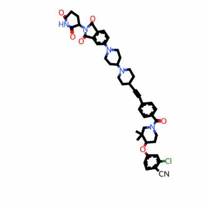 CC1(C)CN(C(=O)c2ccc(C#CC3CCN(C4CCN(c5ccc6c(c5)C(=O)N(C5CCC(=O)NC5=O)C6=O)CC4)CC3)cc2)CCC1Oc1ccc(C#N)c(Cl)c1